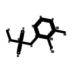 CCS(=O)(=O)Cc1cccc(C)c1F